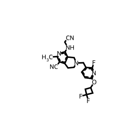 Cc1nc(NCC#N)c2c(c1C#N)CCN(Cc1ccc(OC3CC(F)(F)C3)nc1F)C2